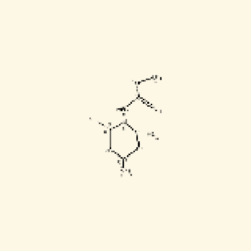 CC(C)(C)OC(=O)N[C@@H]1CC[C@@H](N)C[C@@H]1F.Cl